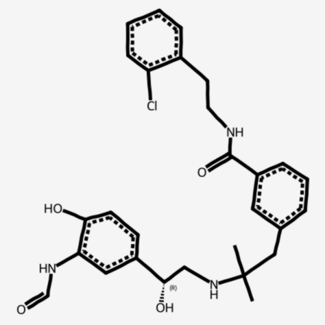 CC(C)(Cc1cccc(C(=O)NCCc2ccccc2Cl)c1)NC[C@H](O)c1ccc(O)c(NC=O)c1